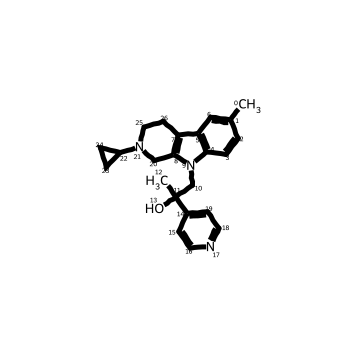 Cc1ccc2c(c1)c1c(n2CC(C)(O)c2ccncc2)CN(C2CC2)CC1